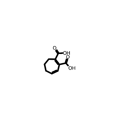 O=C(O)C1=C(C(=O)O)CCCC=C1